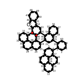 c1ccc(-c2ccc3ccc4cccc5ccc2c3c45)c(-c2cc(-c3ccc4ccc5cccc6ccc3c4c56)c(-c3ccc4oc5ccccc5c4c3)c3ccccc23)c1